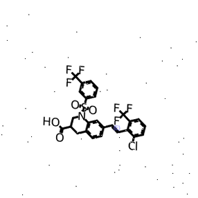 O=C(O)C1Cc2ccc(/C=C/c3c(Cl)cccc3C(F)(F)F)cc2N(S(=O)(=O)c2cccc(C(F)(F)F)c2)C1